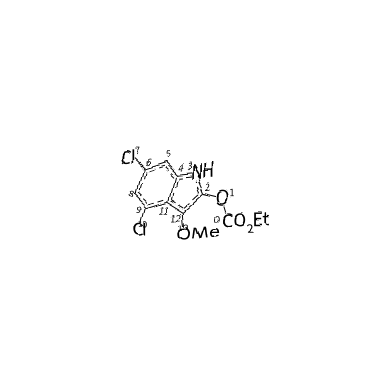 CCOC(=O)Oc1[nH]c2cc(Cl)cc(Cl)c2c1OC